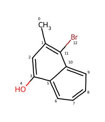 Cc1cc(O)c2ccccc2c1Br